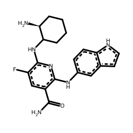 NC(=O)c1cc(F)c(NC2CCCC[C@@H]2N)nc1Nc1ccc2[nH]ccc2c1